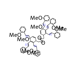 COc1ccccc1/C=C/C1=C(/C=C/c2ccccc2OC)C(/C=C/c2ccccc2OC)(OC)C=CC1CS(=O)(=O)CC1C=CC(/C=C/c2ccccc2OC)(OC)C(/C=C/c2ccccc2OC)=C1/C=C/c1ccccc1OC